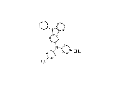 Cc1ccc(N(c2ccc(C)cc2)c2ccc3c(c2)c2ccccc2n3-c2ccccc2)cc1